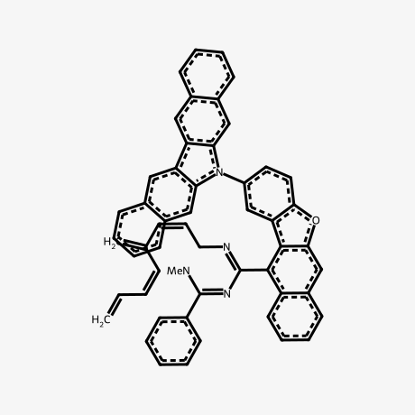 C=C/C=C\C(=C)/C=C\C/N=C(\N=C(/NC)c1ccccc1)c1c2ccccc2cc2oc3ccc(-n4c5cc6ccccc6cc5c5cc6ccccc6cc54)cc3c12